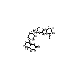 CC(CC1CCC(c2ccnc3ccc(F)cc23)CC1)Nc1nc2c(Cl)cccc2s1